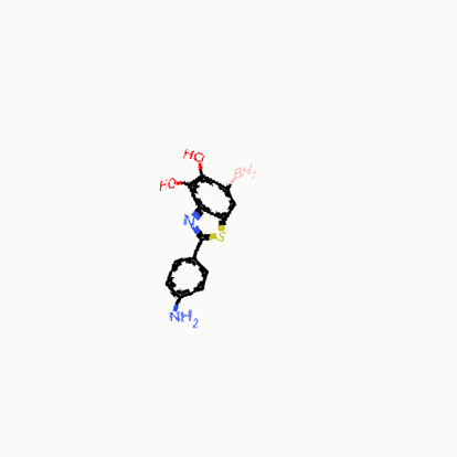 Bc1cc2sc(-c3ccc(N)cc3)nc2c(O)c1O